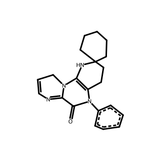 O=C1C2=NC=CCN2C2=C(CCC3(CCCCC3)N2)N1c1ccccc1